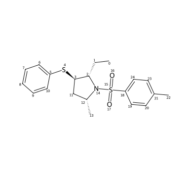 CC[C@H]1[C@H](Sc2ccccc2)C[C@@H](C)N1S(=O)(=O)c1ccc(C)cc1